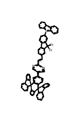 CCC1(CC)c2cc(/C=C/c3ncc(-c4ccc5c(c4)C4(c6ccccc6-c6ccccc64)c4ccccc4C54c5ccccc5-c5ccccc54)cn3)ccc2-c2ccc(-n3c4ccccc4c4ccccc43)cc21